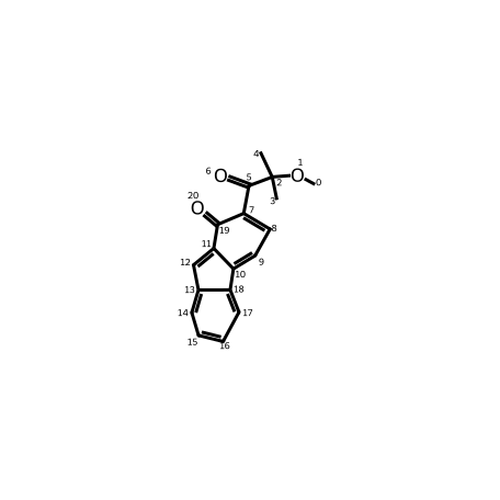 COC(C)(C)C(=O)C1=CC=C2C(=Cc3ccccc32)C1=O